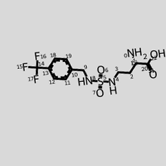 N[C@@H](CCNS(=O)(=O)NCc1ccc(C(F)(F)F)cc1)C(=O)O